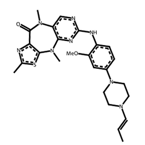 CC=CN1CCN(c2ccc(Nc3ncc4c(n3)N(C)c3sc(C)nc3C(=O)N4C)c(OC)c2)CC1